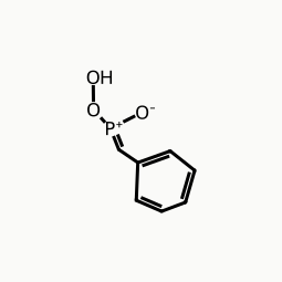 [O-]/[P+](=C\c1ccccc1)OO